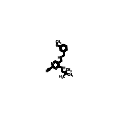 COc1cccc(CNCc2cnc(C#N)nc2NCC(C)(C)C)c1